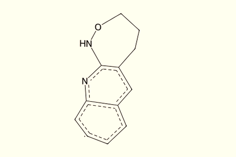 [c]1ccc2cc3c(nc2c1)NOCCC3